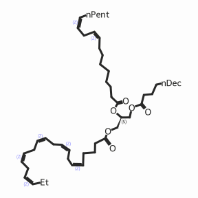 CC/C=C\C/C=C\C/C=C\C/C=C\C/C=C\CCCC(=O)OC[C@H](COC(=O)CCCCCCCCCCCCC)OC(=O)CCCCCCC/C=C\C/C=C\CCCCC